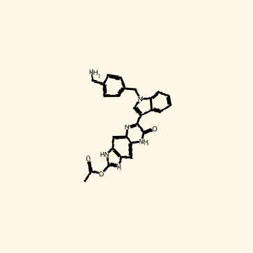 CC(=O)Oc1nc2cc3[nH]c(=O)c(-c4cn(Cc5ccc(CN)cc5)c5ccccc45)nc3cc2[nH]1